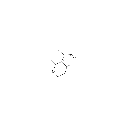 Cc1cccc2c1C(C)OCC2